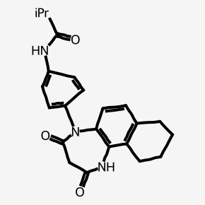 CC(C)C(=O)Nc1ccc(N2C(=O)CC(=O)Nc3c2ccc2c3CCCC2)cc1